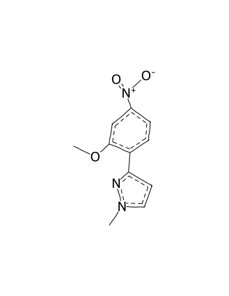 COc1cc([N+](=O)[O-])ccc1-c1ccn(C)n1